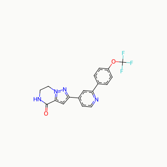 O=C1NCCn2nc(-c3ccnc(-c4ccc(OC(F)(F)F)cc4)c3)cc21